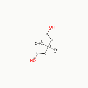 CCC(C=O)(CCO)CCO